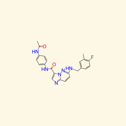 CC(=O)Nc1ccc(NC(=O)c2cnc3ccc(NCc4ccc(F)c(C)c4)nn23)cc1